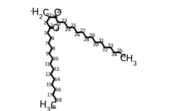 [CH2]C(CC(=O)CCCCCCCCCCCCCCC)C(=O)CCCCCCCCCCCCCCC